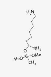 CO[Si](C)(OC)OC(N)CCCCCCN